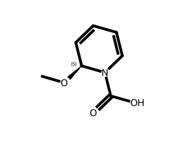 CO[C@H]1C=CC=CN1C(=O)O